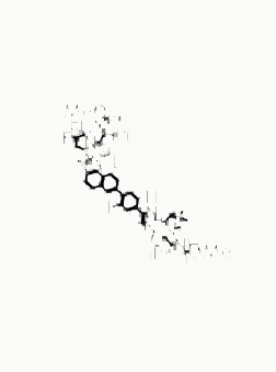 COC(=O)N[C@H](C(=O)N1C[Si](C)(C)C[C@H]1c1ncc(-c2ccc(-c3ccc4c(ccc5nc([C@@H]6CC(F)(F)CN6C(=O)[C@@H](NC(=O)OC)C(C)C)[nH]c54)c3)c(F)c2)[nH]1)C(C)C